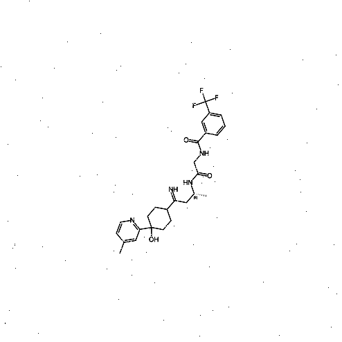 Cc1ccnc(C2(O)CCC(C(=N)C[C@@H](C)NC(=O)CNC(=O)c3cccc(C(F)(F)F)c3)CC2)c1